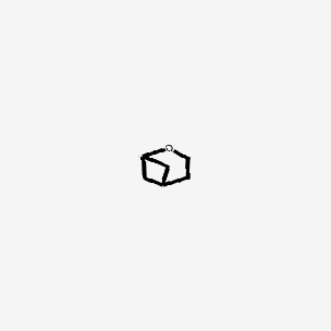 C1CC2C[C](C2)O1